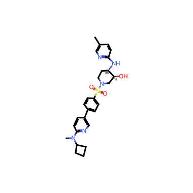 Cc1ccc(N[C@@H]2CCN(S(=O)(=O)c3ccc(-c4ccc(N(C)C5CCC5)nc4)cc3)C[C@@H]2O)nc1